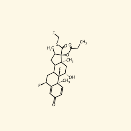 CCC(=O)O[C@]1(C(=O)SCF)[C@H](C)CC2C3C[C@H](F)C4=CC(=O)C=C[C@]4(C)[C@@]3(F)[C@@H](O)C[C@@]21C